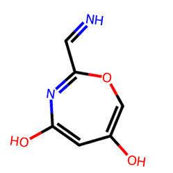 N=CC1=NC(O)=CC(O)=CO1